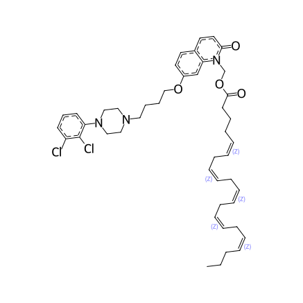 CCC/C=C\C/C=C\C/C=C\C/C=C\C/C=C\CCCC(=O)OCn1c(=O)ccc2ccc(OCCCCN3CCN(c4cccc(Cl)c4Cl)CC3)cc21